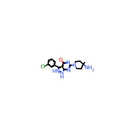 CC1(N)CCN(c2nc3[nH][nH]c(-c4cccc(Cl)c4)c-3c(=O)n2)CC1